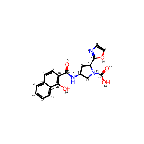 O=C(N[C@H]1C[C@@H](c2ncco2)N(C(=O)O)C1)c1ccc2ccccc2c1O